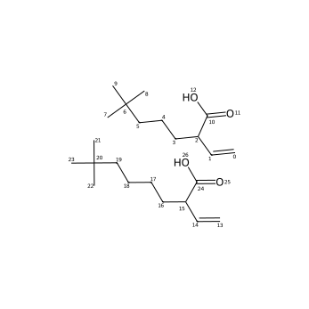 C=CC(CCCC(C)(C)C)C(=O)O.C=CC(CCCCC(C)(C)C)C(=O)O